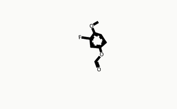 COc1ccc(OC=O)cc1F